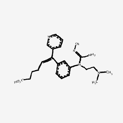 CN(C)CCN(C(N)=NC#N)c1cccc(/C(=C\CCCC(=O)O)c2cccnc2)c1